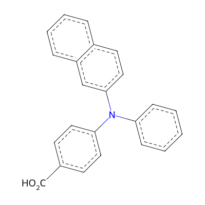 O=C(O)c1ccc(N(c2ccccc2)c2ccc3ccccc3c2)cc1